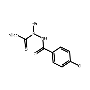 CCCCCCCCCCC(=O)N(NC(=O)c1ccc(Cl)cc1)C(C)(C)C